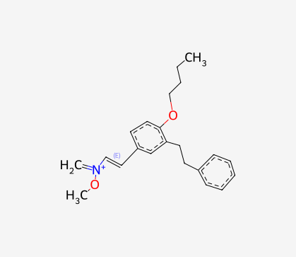 C=[N+](/C=C/c1ccc(OCCCC)c(CCc2ccccc2)c1)OC